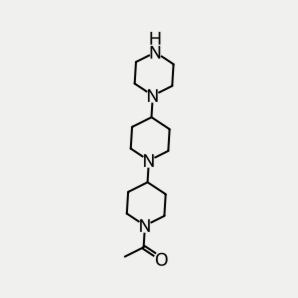 CC(=O)N1CCC(N2CCC(N3CCNCC3)CC2)CC1